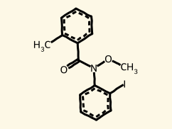 CON(C(=O)c1ccccc1C)c1ccccc1I